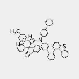 C[C@@H]1C[C@H]2CCC[C@@H](C1)C21c2ccccc2C2(c3ccccc3-c3ccccc32)c2cc(N(c3ccc(-c4ccccc4)cc3)c3ccc(-c4ccccc4-c4cccc5sc6ccccc6c45)cc3)ccc21